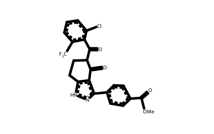 COC(=O)c1ccc(-c2n[nH]c3c2C(=O)C(C(=O)c2c(Cl)cccc2C(F)(F)F)CC3)cc1